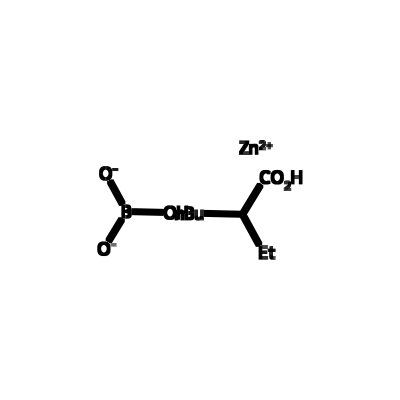 CCCCC(CC)C(=O)O.[O-]B([O-])O.[Zn+2]